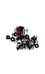 CCC[C@H](NC(=O)[C@@H]1C[C@@H](Oc2cccc(C(C)(C)[C@H](NC(=O)[C@@H](NC(=O)c3cnccn3)C3CCCCC3)C(=O)N3C[C@H](Oc4ccc(-c5ccccc5)cc4)C[C@H]3C(=O)N[C@@H](CCC)C(=O)C(=O)NC3CC3)c2Cl)CN1C(=O)[C@@H](NC(=O)[C@@H](NC(=O)c1cnccn1)C1CCCCC1)C(C)(C)C)C(=O)C(=O)NC1CC1